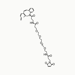 C=C/C=C\C1=C(C)CN(C(=O)CCNC(=O)CCOCCOCCOCCOCCNC(=O)CCN2C(=O)C=CC2=O)c2ccccc2/C=C\1